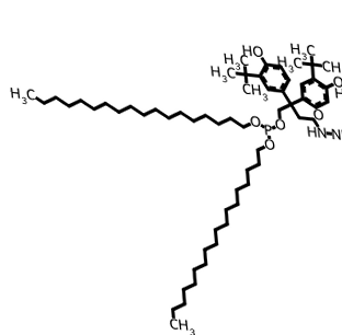 CCCCCCCCCCCCCCCCCCOP(OCCCCCCCCCCCCCCCCCC)OCC(CC(=O)NN)(c1ccc(O)c(C(C)(C)C)c1)c1ccc(O)c(C(C)(C)C)c1